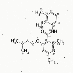 Cc1cc(OCCC(C)C)c(C(=O)Nc2cccc(C)c2C)c(C)n1